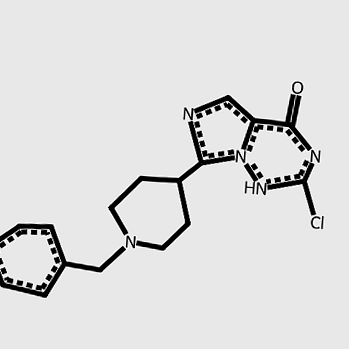 O=c1nc(Cl)[nH]n2c(C3CCN(Cc4ccccc4)CC3)ncc12